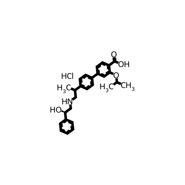 CC(C)Oc1cc(-c2ccc(C(C)CNC[C@H](O)c3ccccc3)cc2)ccc1C(=O)O.Cl